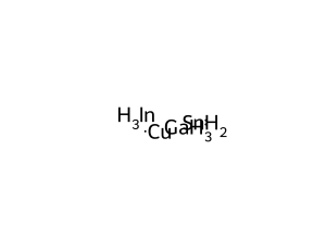 [Cu].[GaH3].[InH3].[SnH2]